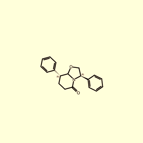 O=C1CC[C@H](c2ccccc2)C2OC[C@@H](c3ccccc3)N12